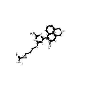 NC(=O)NCCCSc1nc(N)nc(-c2c(Cl)cc3c4c(cccc24)COC3)n1